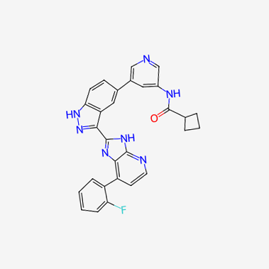 O=C(Nc1cncc(-c2ccc3[nH]nc(-c4nc5c(-c6ccccc6F)ccnc5[nH]4)c3c2)c1)C1CCC1